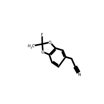 CC1(F)Oc2ccc(CC#N)cc2O1